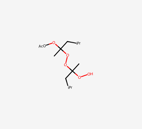 CC(=O)OOC(C)(CC(C)C)OOC(C)(CC(C)C)OO